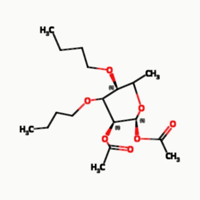 CCCCOC1[C@@H](OCCCC)C(C)O[C@@H](OC(C)=O)[C@H]1OC(C)=O